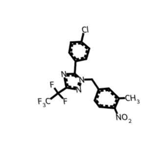 Cc1cc(Cn2nc(C(F)(F)C(F)(F)F)nc2-c2ccc(Cl)cc2)ccc1[N+](=O)[O-]